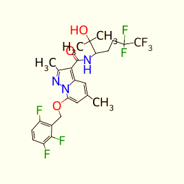 Cc1cc(OCc2c(F)ccc(F)c2F)n2nc(C)c(C(=O)NC(CCC(F)(F)C(F)(F)F)C(C)(C)O)c2c1